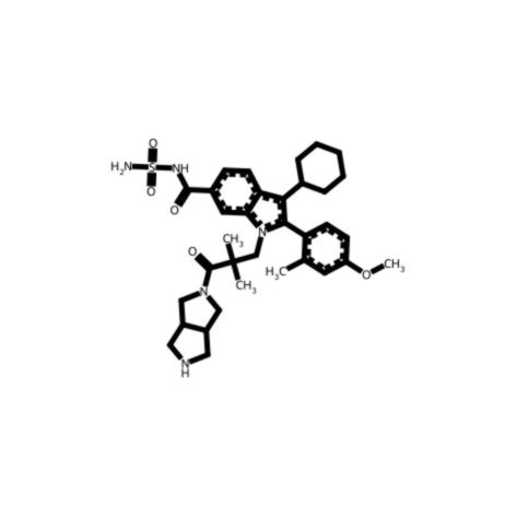 COc1ccc(-c2c(C3CCCCC3)c3ccc(C(=O)NS(N)(=O)=O)cc3n2CC(C)(C)C(=O)N2CC3CNCC3C2)c(C)c1